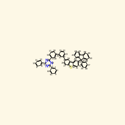 c1ccc(-c2nc(-c3ccccc3)nc(-c3cccc(-c4cccc(-c5ccc6sc7ccc(C8(c9ccccc9)c9ccccc9-c9ccccc98)cc7c6c5)c4)c3)n2)cc1